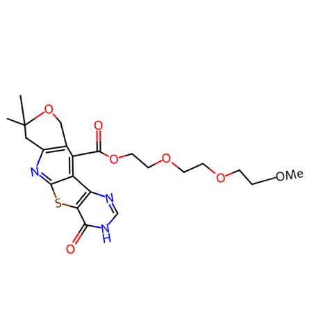 COCCOCCOCCOC(=O)c1c2c(nc3sc4c(=O)[nH]cnc4c13)CC(C)(C)OC2